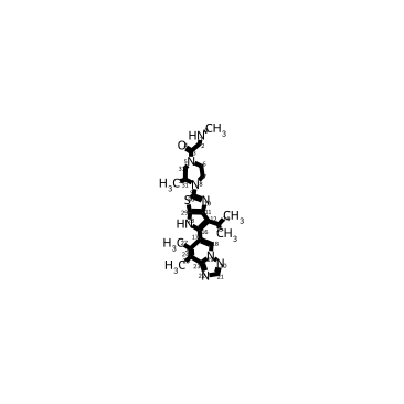 CNCC(=O)N1CCN(c2nc3c(C(C)C)c(-c4cn5ncnc5c(C)c4C)[nH]c3s2)C(C)C1